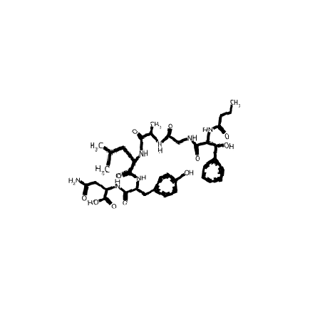 CCCC(=O)NC(C(=O)NCC(=O)NC(C)C(=O)NC(CC(C)C)C(=O)NC(Cc1ccc(O)cc1)C(=O)NC(CC(N)=O)C(=O)O)C(O)c1ccccc1